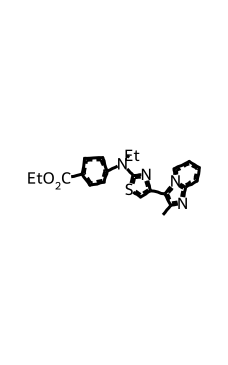 CCOC(=O)c1ccc(N(CC)c2nc(-c3c(C)nc4ccccn34)cs2)cc1